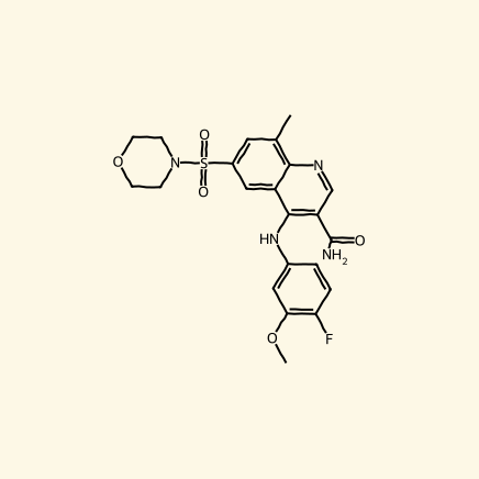 COc1cc(Nc2c(C(N)=O)cnc3c(C)cc(S(=O)(=O)N4CCOCC4)cc23)ccc1F